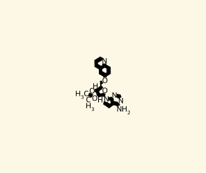 CC1(C)O[C@@H]2[C@H](O1)[C@@H](COc1ccc3ncccc3c1)O[C@H]2n1ccc2c(N)ncnc21